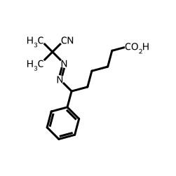 CC(C)(C#N)N=NC(CCCCC(=O)O)c1ccccc1